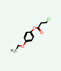 CCOc1ccc(OC(=O)CCCl)cc1